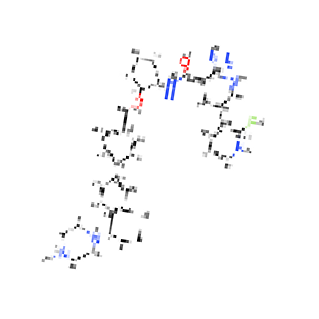 CN1CCN([C@H]2CCCc3cc(-c4ccc(CO[C@H]5CCC[C@@H]5NC(=O)c5cc(-c6cccnc6F)cnc5N)cc4)ccc32)CC1